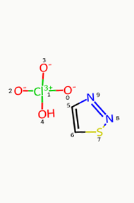 [O-][Cl+3]([O-])([O-])O.c1csnn1